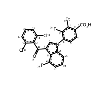 CCc1c(C(=O)O)ccc(-n2cc(C(=O)c3c(Cl)cccc3Cl)c3c(F)cccc32)c1F